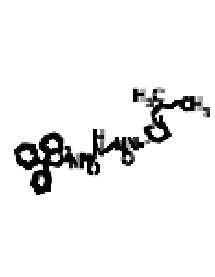 CCCC(C)CN1CCC[C@H](CNC(=O)CCNC(=O)CNC(=O)CC(c2ccccc2)(c2ccccc2)c2ccccc2)C1